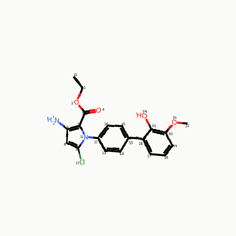 CCOC(=O)c1c(N)cc(Cl)n1-c1ccc(-c2cccc(OC)c2O)cc1